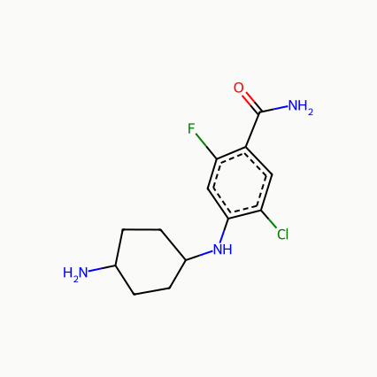 NC(=O)c1cc(Cl)c(NC2CCC(N)CC2)cc1F